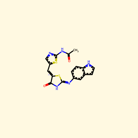 CC(=O)Nc1ncc(/C=C2\SC(=Nc3ccc4[nH]ccc4c3)NC2=O)s1